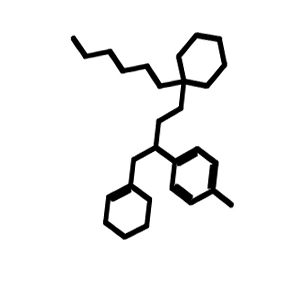 CCCCCCC1(CCC(CC2=CCCCC2)c2ccc(C)cc2)CCCCC1